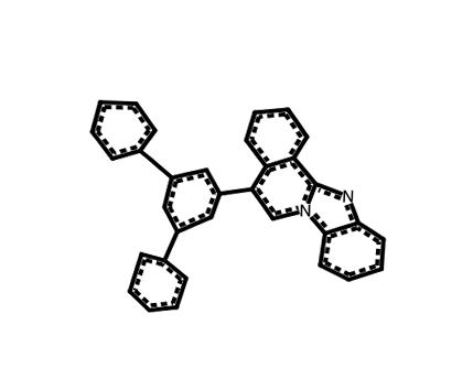 c1ccc(-c2cc(-c3ccccc3)cc(-c3cn4c5ccccc5nc4c4ccccc34)c2)cc1